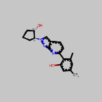 Cc1cc(C(F)(F)F)cc(O)c1-c1ccc2cn([C@H]3CCC[C@@H]3O)nc2n1